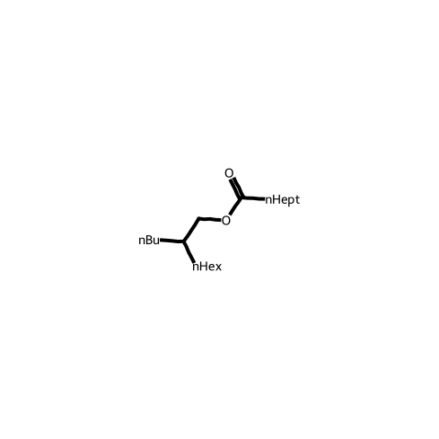 CCCCCCCC(=O)OCC(CCCC)CCCCCC